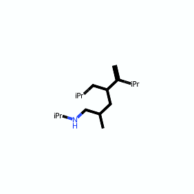 C=C(C(C)C)C(CC(C)C)CC(C)CNC(C)C